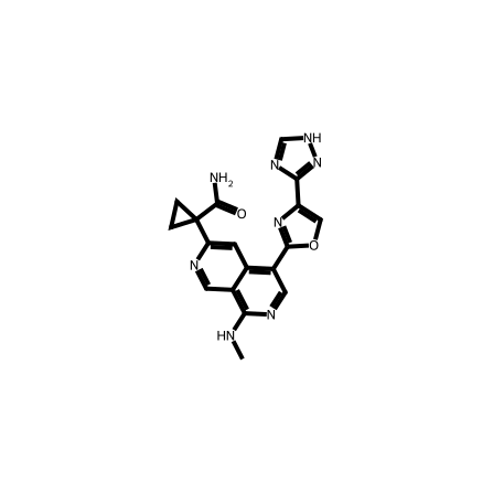 CNc1ncc(-c2nc(-c3nc[nH]n3)co2)c2cc(C3(C(N)=O)CC3)ncc12